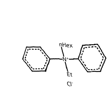 CCCCCC[N+](CC)(c1ccccc1)c1ccccc1.[Cl-]